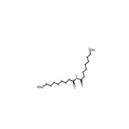 CCCCCCCCCCCCCCCCCC(=O)SC(=O)CCCCCCCCCCCCCCCCC